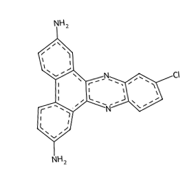 Nc1ccc2c3ccc(N)cc3c3nc4cc(Cl)ccc4nc3c2c1